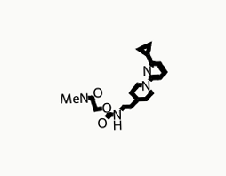 CNC(=O)COC(=O)NCCC1CCN(c2cccc(C3CC3)n2)CC1